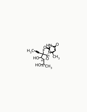 CC#CC1(F)C(O)[C@@H]([C@@H](C)O)O[C@H]1n1c(C)cc(=O)[nH]c1=O